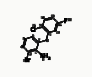 Nc1c(Br)cccc1Cc1cc(F)ccc1Cl